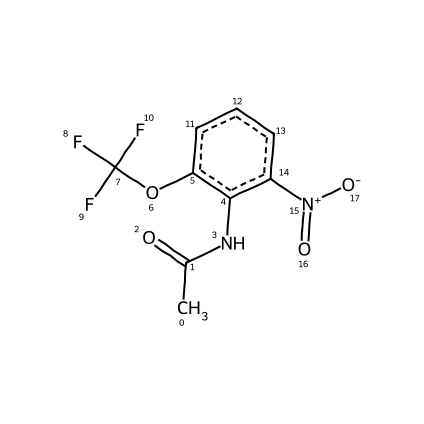 CC(=O)Nc1c(OC(F)(F)F)cccc1[N+](=O)[O-]